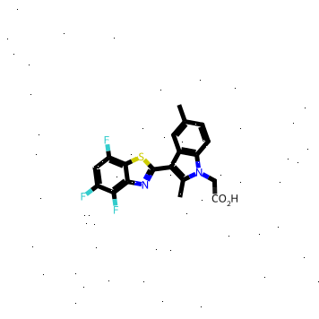 Cc1ccc2c(c1)c(-c1nc3c(F)c(F)cc(F)c3s1)c(C)n2CC(=O)O